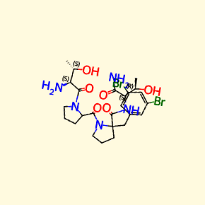 C[C@H](O)[C@H](N)C(=O)N1CCCC1C(=O)N1CCCC1(Cc1cc(Br)cc(Br)c1)C(=O)N[C@H](C(N)=O)[C@@H](C)O